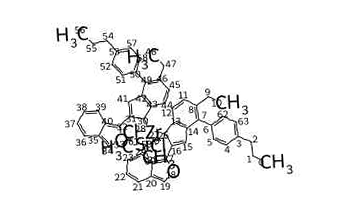 CCCc1ccc(-c2c(CC)ccc3c2C=C(c2occ4ccccc24)[CH]3[Zr]([Cl])([Cl])([CH]2C(c3occ4ccccc34)=Cc3c2ccc(CC)c3-c2ccc(CCC)cc2)=[Si](C)C)cc1